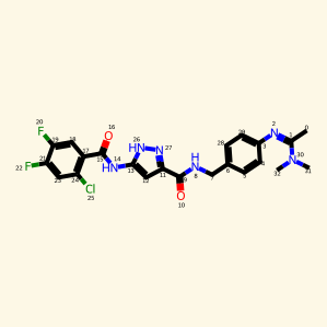 CC(=Nc1ccc(CNC(=O)c2cc(NC(=O)c3cc(F)c(F)cc3Cl)[nH]n2)cc1)N(C)C